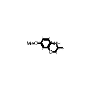 COc1ccc2c(c1)OCC(C)N2